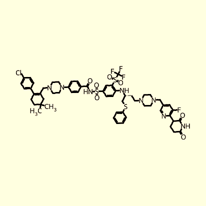 CC1(C)CCC(c2ccc(Cl)cc2)=C(CN2CCN(c3ccc(C(=O)NS(=O)(=O)c4ccc(N[C@H](CCN5CCN(Cc6cnc(C7CCC(=O)NC7=O)c(F)c6)CC5)CSc5ccccc5)c(S(=O)(=O)C(F)(F)F)c4)cc3)CC2)C1